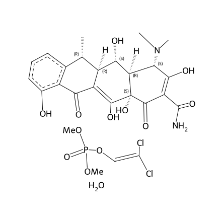 COP(=O)(OC)OC=C(Cl)Cl.C[C@H]1c2cccc(O)c2C(=O)C2=C(O)[C@]3(O)C(=O)C(C(N)=O)=C(O)[C@@H](N(C)C)[C@@H]3[C@@H](O)[C@@H]21.O